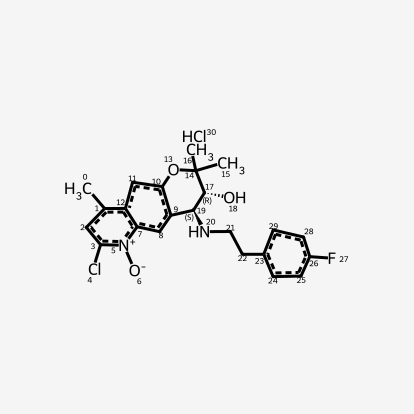 Cc1cc(Cl)[n+]([O-])c2cc3c(cc12)OC(C)(C)[C@H](O)[C@H]3NCCc1ccc(F)cc1.Cl